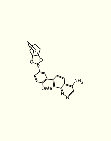 COc1ccc(B2OC34CCC5CC(C3)CC4(C5)O2)cc1-c1ccc2c(N)cnnc2c1